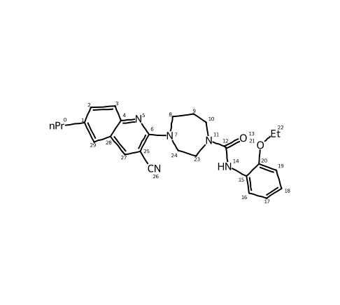 CCCc1ccc2nc(N3CCCN(C(=O)Nc4ccccc4OCC)CC3)c(C#N)cc2c1